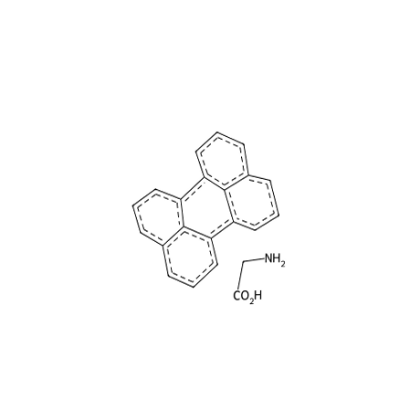 NCC(=O)O.c1cc2cccc3c4cccc5cccc(c(c1)c23)c54